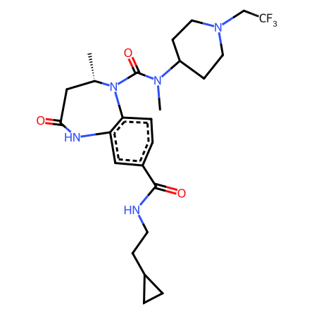 C[C@H]1CC(=O)Nc2cc(C(=O)NCCC3CC3)ccc2N1C(=O)N(C)C1CCN(CC(F)(F)F)CC1